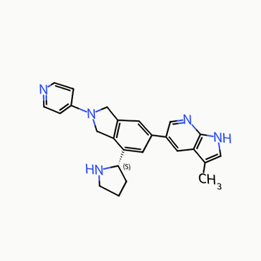 Cc1c[nH]c2ncc(-c3cc4c(c([C@@H]5CCCN5)c3)CN(c3ccncc3)C4)cc12